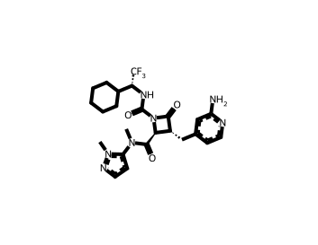 CN(C(=O)[C@@H]1[C@@H](Cc2ccnc(N)c2)C(=O)N1C(=O)N[C@H](C1CCCCC1)C(F)(F)F)c1ccnn1C